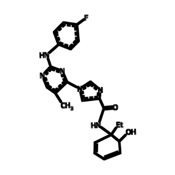 CCC1(NC(=O)c2cn(-c3nc(Nc4ccc(F)cc4)ncc3C)cn2)C=CC=CC1O